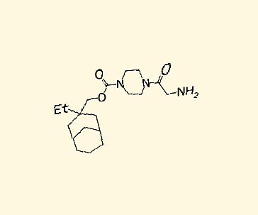 CCC1(COC(=O)N2CCN(C(=O)CN)CC2)CC2CCCC(C2)C1